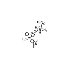 CC(C)(C=CC(N)=O)NCCOc1ccc(/C(=C(/CC(F)(F)F)c2ccccc2)c2ccc3[nH]nc(F)c3c2)cn1